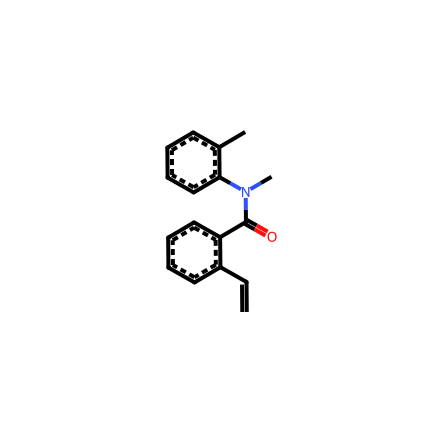 C=Cc1ccccc1C(=O)N(C)c1ccccc1C